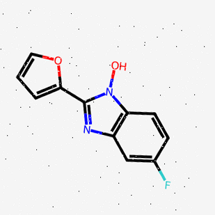 On1c(-c2ccco2)nc2cc(F)ccc21